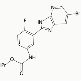 CC(C)OC(=O)Nc1ccc(F)c(-c2nc3cc(Br)cnc3[nH]2)c1